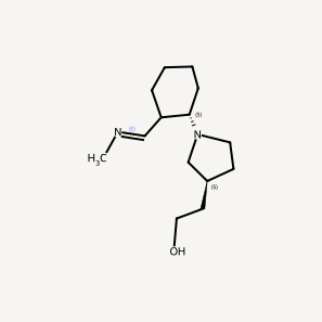 C/N=C/C1CCCC[C@@H]1N1CC[C@@H](CCO)C1